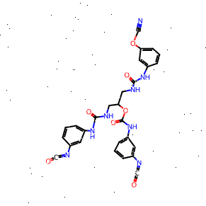 N#COc1cccc(NC(=O)NCC(CNC(=O)Nc2cccc(N=C=O)c2)OC(=O)Nc2cccc(N=C=O)c2)c1